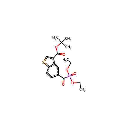 CCOP(=O)(OCC)C(=O)c1ccc2scc(C(=O)OC(C)(C)C)c2c1